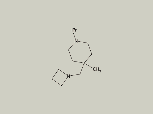 CC(C)N1CCC(C)(CN2CCC2)CC1